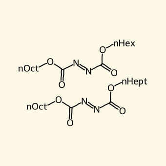 CCCCCCCCOC(=O)N=NC(=O)OCCCCCC.CCCCCCCCOC(=O)N=NC(=O)OCCCCCCC